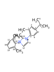 Cc1cc(C(C)C)ccc1N1C=CN(c2c(C)cccc2C)[C@H]1C